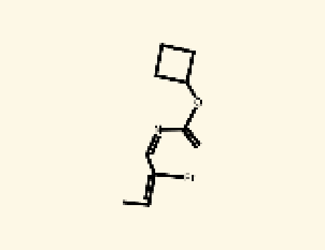 C=C(/N=C\C(=C/C)CC)OC1CCC1